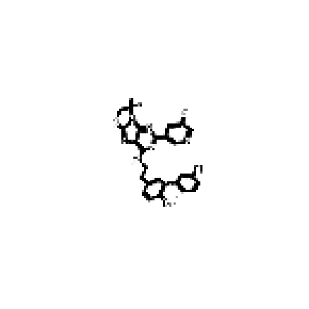 CC1(C)COc2nc3c(NCCc4ccc(O)c(-c5cccc(Cl)c5)c4)nc(-c4cncc(F)c4)nc3n21